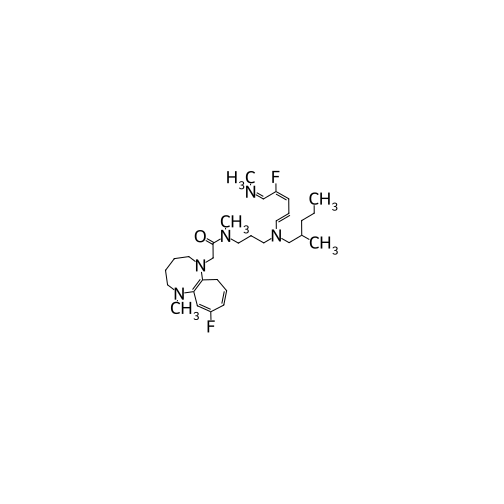 CCCC(C)CN(/C=C/C=C(F)\C=N/C)CCCN(C)C(=O)CN1CCCCN(C)C2=C1CC=CC(F)=C2